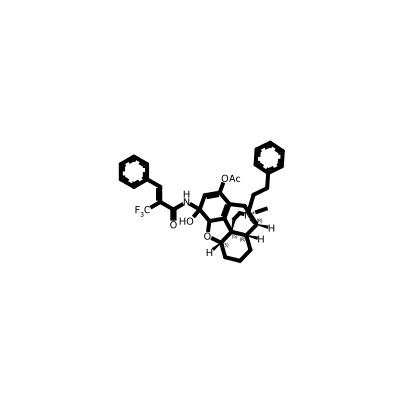 CC(=O)OC1=CC(O)(NC(=O)C(=Cc2ccccc2)C(F)(F)F)C2O[C@H]3CCC[C@H]4[C@H]5CC1=C2[C@@]34CC[N+]5(C)CCc1ccccc1